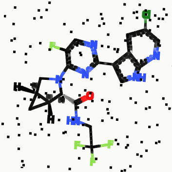 O=C(NCC(F)(F)F)[C@@H]1[C@@H]2C[C@@H]2CN1c1nc(-c2c[nH]c3ncc(Cl)cc23)ncc1F